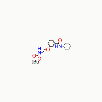 CC(C)(C)OC(=O)NCCOc1cccc(C(=O)NC2CCCCC2)c1